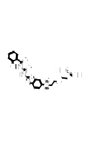 CN(C)CCOCCS(=O)(=O)c1ccc2nc(NC(=O)NC(=O)c3ccccc3Cl)sc2c1